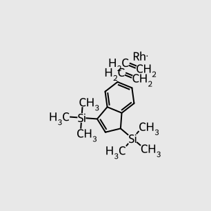 C=C.C=C.C[Si](C)(C)C1=CC([Si](C)(C)C)c2ccccc21.[Rh]